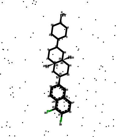 CCCC1CCC(C2CC[C@@H]3C[C@H](c4ccc5c(F)c(F)ccc5c4)CC[C@@H]3C2)CC1